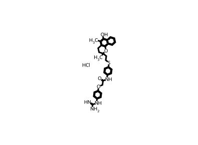 Cc1c2c(c3ccccc3c1O)OC(C)(CCSc1ccc(NC(=O)COc3ccc(NC(=N)N)cc3)cc1)CC2.Cl